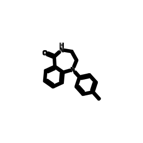 Cc1ccc(N2CCNC(=O)c3ccccc32)cc1